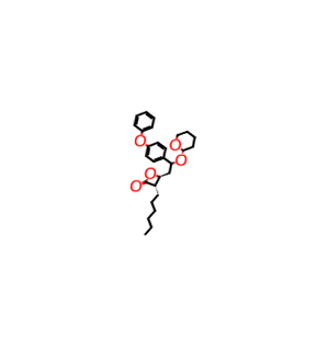 CCCCCC[C@@H]1C(=O)O[C@H]1CC(O[C@H]1CCCCO1)c1ccc(Oc2ccccc2)cc1